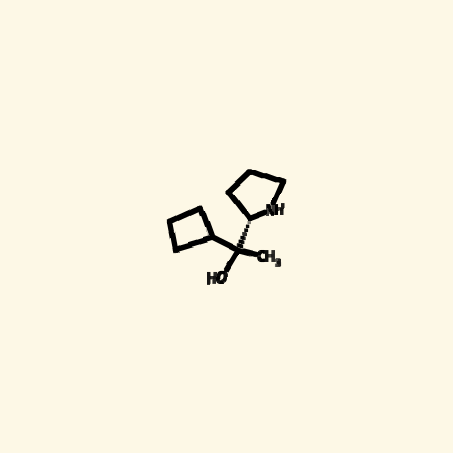 CC(O)(C1CCC1)[C@@H]1CCCN1